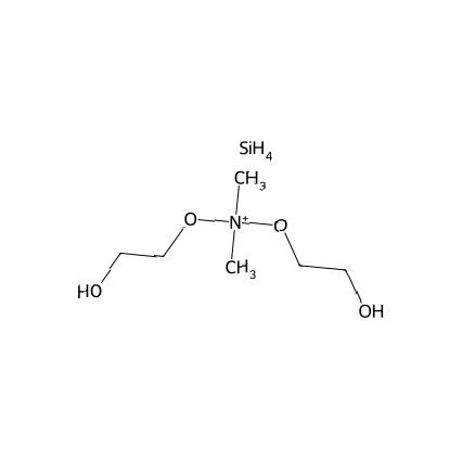 C[N+](C)(OCCO)OCCO.[SiH4]